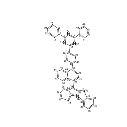 c1ccc(-c2nc(-c3ccccc3)nc(-c3ccc(-c4ccc(-c5c6ccccc6n6c5sc5ccccc56)c5ccccc45)cc3)n2)cc1